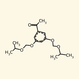 CC(=O)c1cc(OCOC(C)C)cc(OCOC(C)C)c1